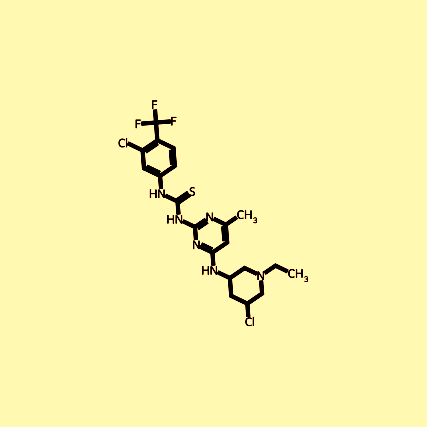 CCN1CC(Cl)CC(Nc2cc(C)nc(NC(=S)Nc3ccc(C(F)(F)F)c(Cl)c3)n2)C1